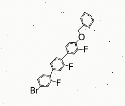 Fc1cc(-c2ccc(-c3ccc(Br)cc3F)cc2F)ccc1OCc1ccccc1